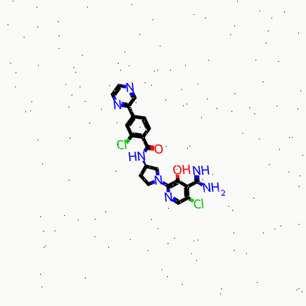 N=C(N)c1c(Cl)cnc(N2CC[C@@H](NC(=O)c3ccc(-c4cnccn4)cc3Cl)C2)c1O